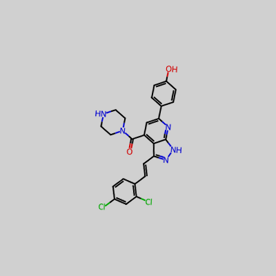 O=C(c1cc(-c2ccc(O)cc2)nc2[nH]nc(/C=C/c3ccc(Cl)cc3Cl)c12)N1CCNCC1